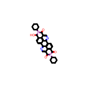 O=C1c2ccc3c4ncc5c6c(ccc(c7ncc(c2c37)C(=O)P1C1CCCCC1)c64)C(O)P(C1CCCCC1)C5=O